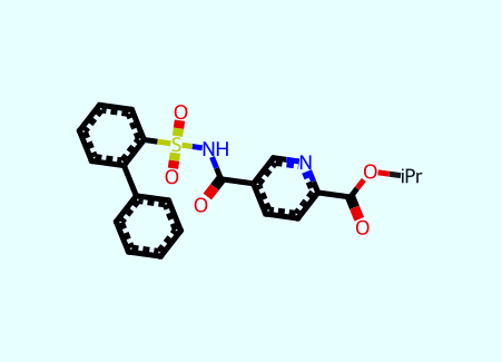 CC(C)OC(=O)c1ccc(C(=O)NS(=O)(=O)c2ccccc2-c2ccccc2)cn1